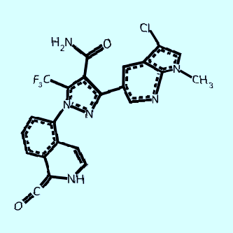 Cn1cc(Cl)c2cc(-c3nn(-c4cccc5c4C=CNC5=C=O)c(C(F)(F)F)c3C(N)=O)cnc21